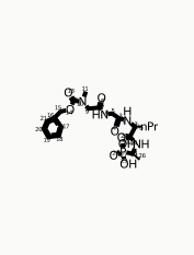 CCC[C@H](NC(=O)CNC(=O)CN(C)C(=O)OCc1ccccc1)C(=O)N[C@@H](C)P(=O)(O)O